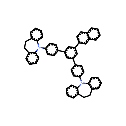 c1ccc2c(c1)CCc1ccccc1N2c1ccc(-c2cc(-c3ccc(N4c5ccccc5CCc5ccccc54)cc3)cc(-c3ccc4ccccc4c3)c2)cc1